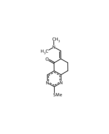 CSc1ncc2c(n1)CC/C(=C/N(C)C)C2=O